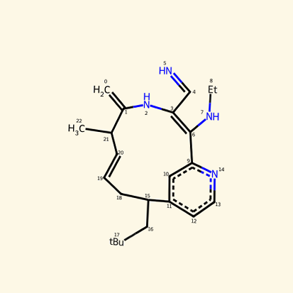 C=C1N/C(C=N)=C(/NCC)c2cc(ccn2)C(CC(C)(C)C)C/C=C/C1C